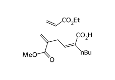 C=C(CC=C(CCCC)C(=O)O)C(=O)OC.C=CC(=O)OCC